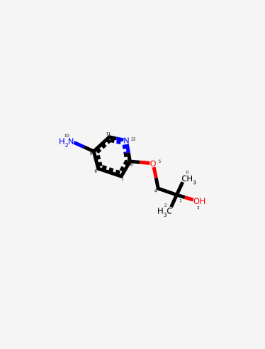 CC(C)(O)COc1ccc(N)cn1